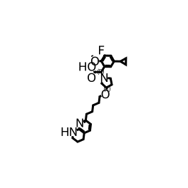 COc1c(F)cc(C2CC2)cc1[C@H](C(=O)O)N1CC[C@@H](OCCCCCc2ccc3c(n2)NCCC3)C1